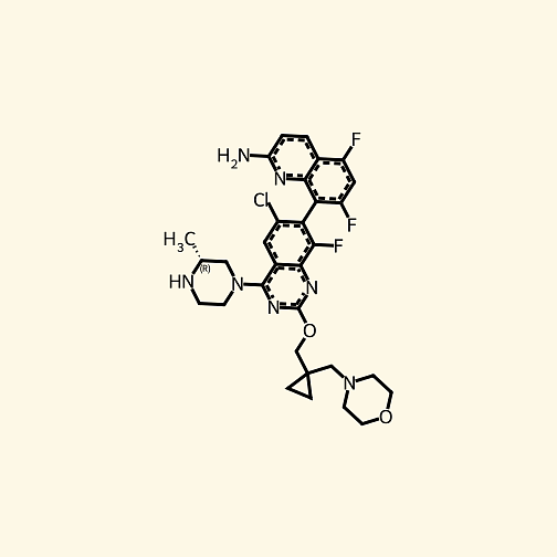 C[C@@H]1CN(c2nc(OCC3(CN4CCOCC4)CC3)nc3c(F)c(-c4c(F)cc(F)c5ccc(N)nc45)c(Cl)cc23)CCN1